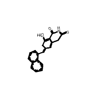 O=C1CC2=CC(=Cc3cccc4ccccc34)CC(O)=C2C(=O)N1